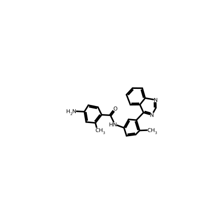 Cc1cc(N)ccc1C(=O)Nc1ccc(C)c(-c2ncnc3ccccc23)c1